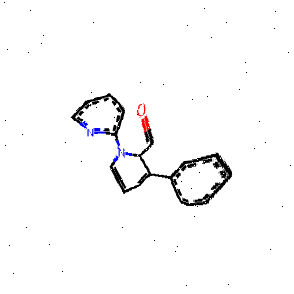 O=CC1C(c2ccccc2)=CC=CN1c1ccccn1